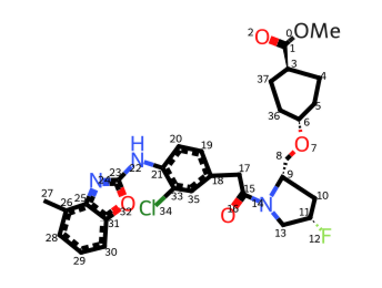 COC(=O)[C@H]1CC[C@H](OC[C@@H]2C[C@H](F)CN2C(=O)Cc2ccc(Nc3nc4c(C)cccc4o3)c(Cl)c2)CC1